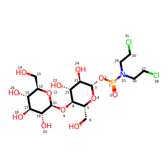 O=[P](O[C@@H]1O[C@H](CO)[C@@H](O[C@@H]2O[C@H](CO)[C@@H](O)[C@H](O)[C@H]2O)[C@H](O)[C@H]1O)N(CCCl)CCCl